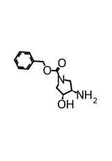 N[C@@H]1CN(C(=O)OCc2ccccc2)C[C@@H]1O